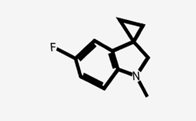 CN1CC2(CC2)c2cc(F)ccc21